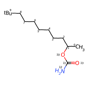 CC(CCCCCCCC(C)(C)C)OC(N)=O